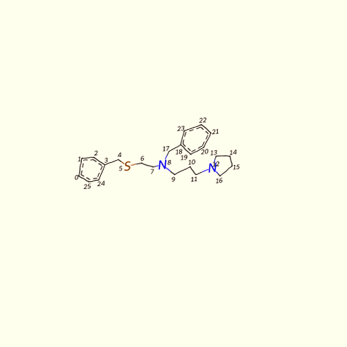 c1ccc(CSCCN(CCCN2CCCC2)Cc2ccccc2)cc1